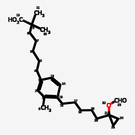 Cc1cc(CCCCCC(C)(C)C(=O)O)ccc1CCCCCC1(OC=O)CC1